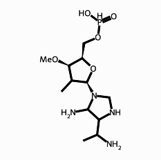 CO[C@@H]1C(C)[C@H](N2CNC(C(C)N)C2N)O[C@@H]1CO[PH](=O)O